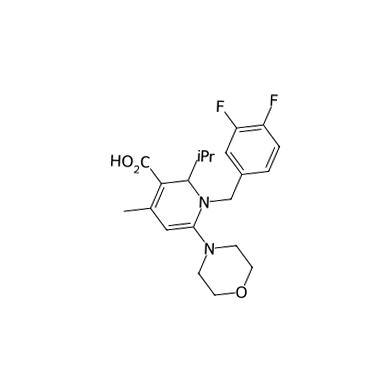 CC1=C(C(=O)O)C(C(C)C)N(Cc2ccc(F)c(F)c2)C(N2CCOCC2)=C1